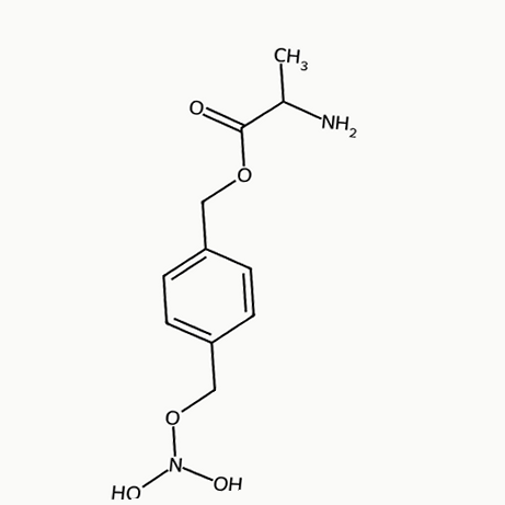 CC(N)C(=O)OCc1ccc(CON(O)O)cc1